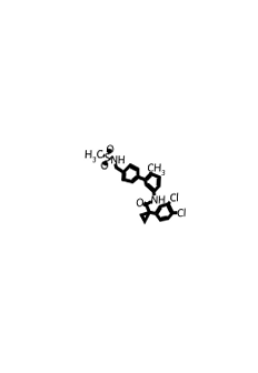 Cc1ccc(NC(=O)C2(c3ccc(Cl)c(Cl)c3)CC2)cc1-c1ccc(CNS(C)(=O)=O)cc1